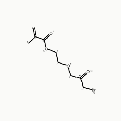 C=C(C)C(=O)OCCOCC(=O)CBr